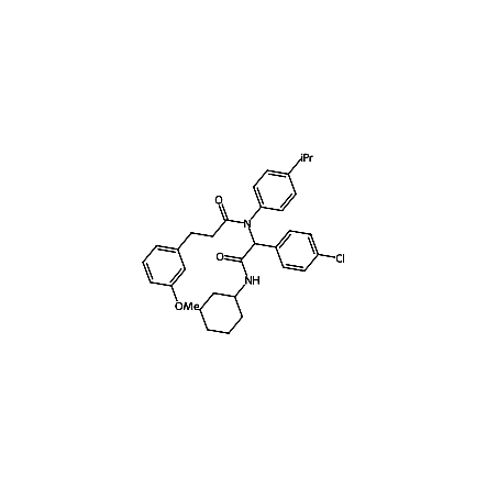 COc1cccc(CCC(=O)N(c2ccc(C(C)C)cc2)C(C(=O)NC2CCCCC2)c2ccc(Cl)cc2)c1